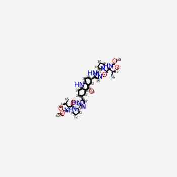 COC(=O)N[C@H](C(=O)N1CCC[C@H]1c1ncc(-c2ccc3[nH]c4ccc(-c5cnc([C@@H]6CCCN6C(=O)[C@@H](NC(=O)OC)C(C)C)[nH]5)cc4c(=O)c3c2)[nH]1)C(C)C